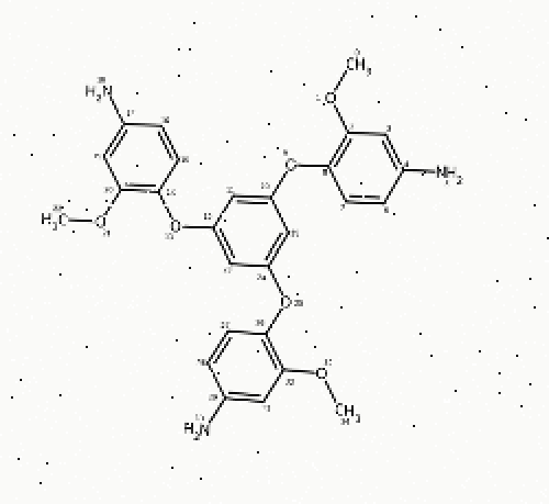 COc1cc(N)ccc1Oc1cc(Oc2ccc(N)cc2OC)cc(Oc2ccc(N)cc2OC)c1